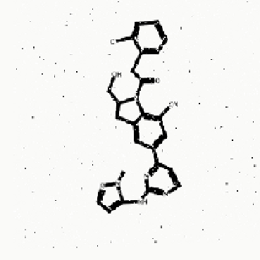 Cn1nccc1Nc1nccc(-c2cc(C#N)c3c(c2)CC(CO)N3C(=O)Cc2ccccc2Cl)n1